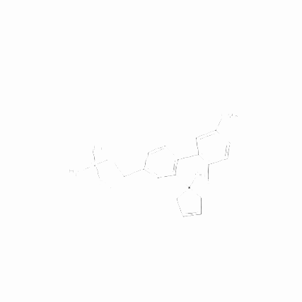 COc1ccc(F)c(-c2ccc(CO[Si](C)(C)C(C)(C)C)cc2C2(O)CC=CC2)c1